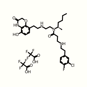 CCCC[C@@H](C)N(CCNCCc1ccc(O)c2c1OCC(=O)N2)C(=O)CCNCCc1ccc(F)c(Cl)c1.O=C(O)C(F)(F)F.O=C(O)C(F)(F)F